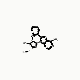 Nc1ncnc2c1nc(-c1cccnc1)n2[C@@H]1O[C@H](CO)[C@@H](O)[C@H]1O